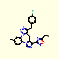 CCc1nc(-c2ncn3c2Cc2c(Cc4ccc(F)cc4)nnn2-c2cc(C)ccc2-3)no1